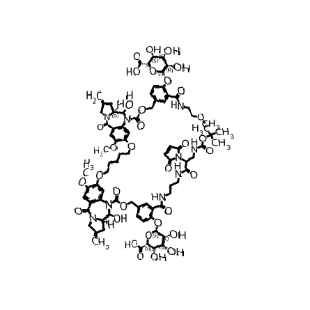 C=C1C[C@H]2C(O)N(C(=O)OCc3ccc(O[C@@H]4O[C@H](C(=O)O)[C@@H](O)[C@H](O)[C@H]4O)c(C(=O)NCCCNC(=O)C(CNC(=O)OC(C)(C)C)N4C(=O)C=CC4=O)c3)c3cc(OCCCCCOc4cc5c(cc4OC)C(=O)N4CC(=C)C[C@H]4C(O)N5C(=O)OCc4ccc(O[C@@H]5O[C@H](C(=O)O)[C@@H](O)[C@H](O)[C@H]5O)c(C(=O)NCCOC)c4)c(OC)cc3C(=O)N2C1